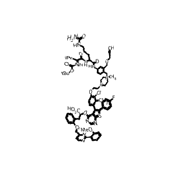 C#CCOCc1cc(NC(=O)C(CCCNC(N)=O)NC(=O)C(NC(=O)OC(C)(C)C)C(C)C)ccc1C[N+]1(C)CCN(CCOc2ccc(-c3c(-c4ccc(F)cc4)sc4ncnc(O[C@H](Cc5ccccc5OCc5ccnc(-c6ccccc6OC)n5)C(=O)O)c34)c(C)c2Cl)CC1